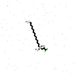 C=CCCCCCCCCCCCCC[Si](C)(C)CC(F)C(F)F